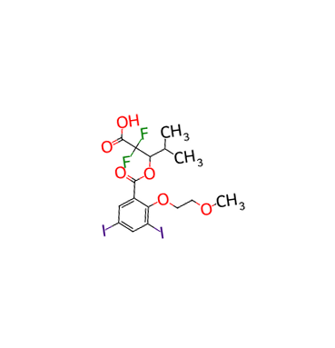 COCCOc1c(I)cc(I)cc1C(=O)OC(C(C)C)C(F)(F)C(=O)O